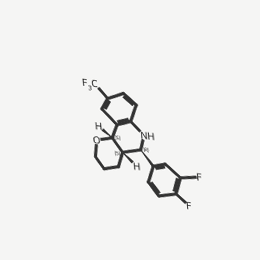 Fc1ccc([C@@H]2Nc3ccc(C(F)(F)F)cc3[C@H]3OCCC[C@H]32)cc1F